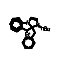 CCCCN1C=CN(c2ccccc2)C1(Cc1ccccc1)C(CC)c1ccccc1